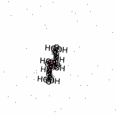 O=C(O)c1cc(N=NNc2ccc(-c3ccc(NN=Nc4ccc(O)c(C(=O)O)c4)cc3S(=O)(=O)O)c(S(=O)(=O)O)c2)ccc1O